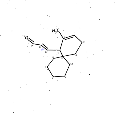 CC1=CCCC2(CCCCC2)C1/C=C/C=O